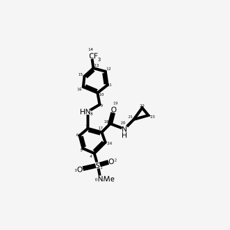 CNS(=O)(=O)c1ccc(NCc2ccc(C(F)(F)F)cc2)c(C(=O)NC2CC2)c1